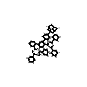 c1ccc(C2=NC(c3ccccc3-c3ccc(-c4nc(-c5ccccc5)nc(-c5ccccc5)n4)c(-c4ccc(C56CC7CC(C7)CC(C5)C6)cc4)c3)=NC(c3ccccc3)N2)cc1